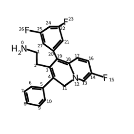 NCCC1=C(c2ccccc2)CN2C=C(F)C=CC2=C1c1cc(F)cc(F)c1